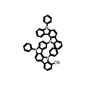 N#Cc1cccc2c3ccc4c(c5cc(-n6c7ccccc7c7ccc8c(c9ccccc9n8-c8ccccc8)c76)ccc5n4-c4ccccc4)c3n(-c3ccccc3)c12